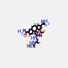 C=C(CN[C@H](C)CC1(c2nnc(C)o2)c2ccc(C(=C)N)cc2CCc2cc(C(N)=O)ccc21)NC(C)C#N